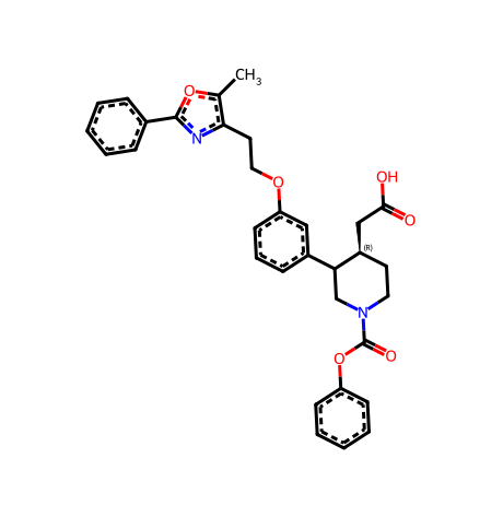 Cc1oc(-c2ccccc2)nc1CCOc1cccc(C2CN(C(=O)Oc3ccccc3)CC[C@@H]2CC(=O)O)c1